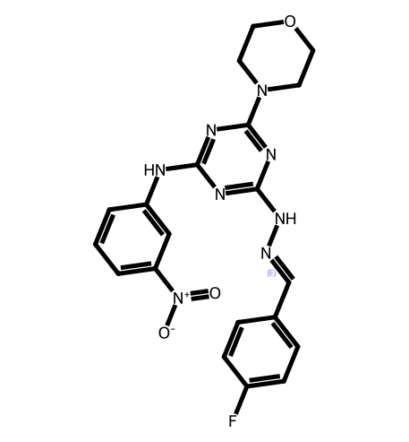 O=[N+]([O-])c1cccc(Nc2nc(N/N=C/c3ccc(F)cc3)nc(N3CCOCC3)n2)c1